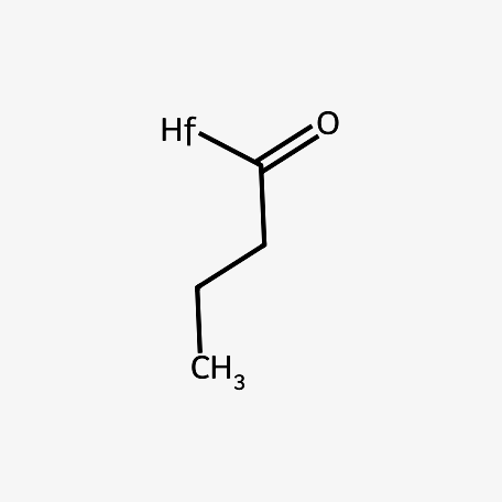 CCC[C](=O)[Hf]